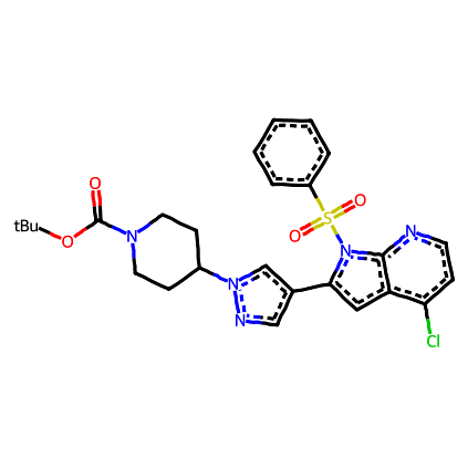 CC(C)(C)OC(=O)N1CCC(n2cc(-c3cc4c(Cl)ccnc4n3S(=O)(=O)c3ccccc3)cn2)CC1